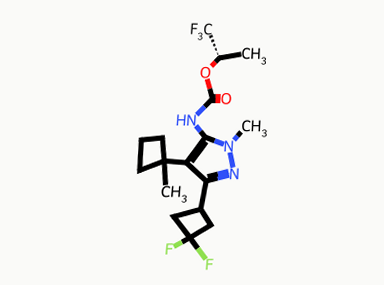 C[C@H](OC(=O)Nc1c(C2(C)CCC2)c(C2CC(F)(F)C2)nn1C)C(F)(F)F